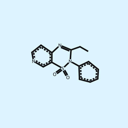 CCC1=Nc2ccncc2S(=O)(=O)N1c1ccccc1